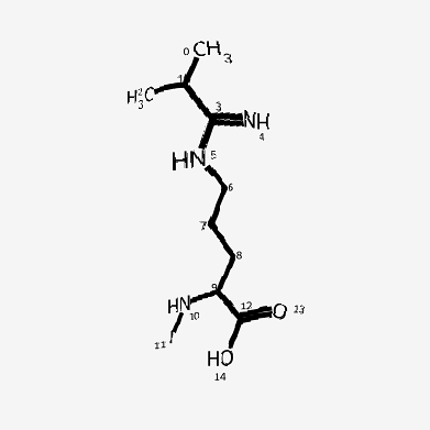 CC(C)C(=N)NCCCC(NI)C(=O)O